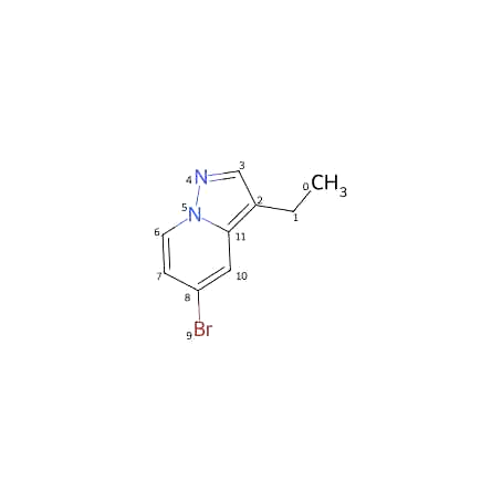 CCc1cnn2ccc(Br)cc12